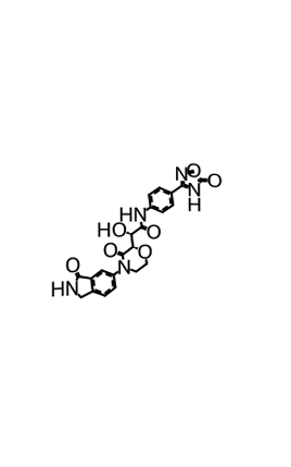 O=C1NCc2ccc(N3CCO[C@H]([C@@H](O)C(=O)Nc4ccc(-c5noc(=O)[nH]5)cc4)C3=O)cc21